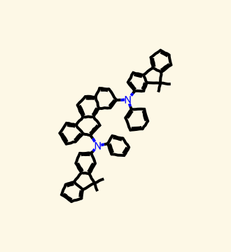 CC1(C)c2ccccc2-c2ccc(N(c3ccccc3)c3ccc4ccc5c6ccccc6c(N(c6ccccc6)c6ccc7c(c6)C(C)(C)c6ccccc6-7)cc5c4c3)cc21